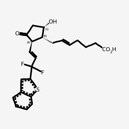 O=C(O)CCCC=CC[C@H]1[C@@H](O)CC(=O)[C@@H]1C=CC(F)(F)c1cc2ccccc2s1